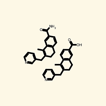 CC1=C(Cc2cccnc2)CCc2cc(C(=O)O)ccc21.CC1=C(Cc2cccnc2)CCc2ccc(C(N)=O)cc21